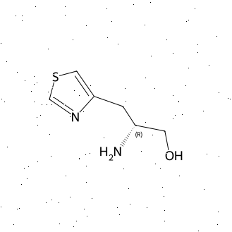 N[C@@H](CO)Cc1cscn1